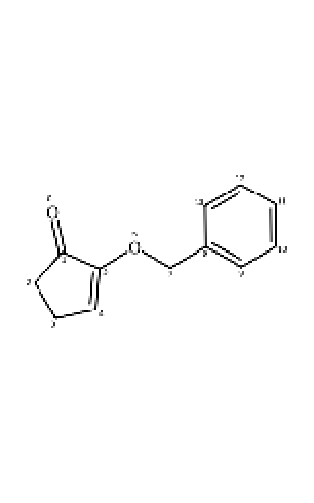 O=C1CCC=C1OCc1ccccc1